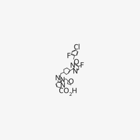 O=C(O)c1ccc2nc(CC3CC=C(c4ncc(F)c(OCc5ccc(Cl)cc5F)n4)CC3)n(CC3CCO3)c2n1